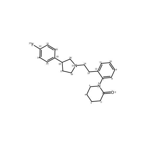 O=C1CCCCN1c1ccccc1CCN1CCC(c2ccc(F)cc2)C1